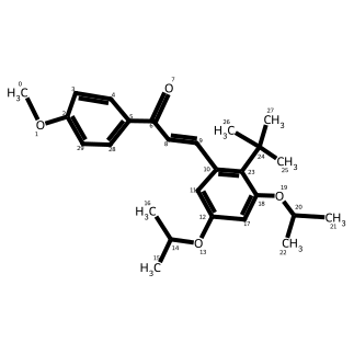 COc1ccc(C(=O)C=Cc2cc(OC(C)C)cc(OC(C)C)c2C(C)(C)C)cc1